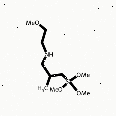 COCCNCC(C)C[Si](OC)(OC)OC